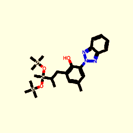 Cc1cc(CC(C)[Si](C)(O[Si](C)(C)C)O[Si](C)(C)C)c(O)c(-n2nc3ccccc3n2)c1